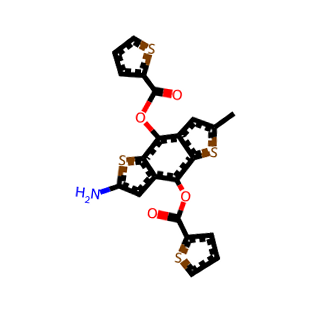 Cc1cc2c(OC(=O)c3cccs3)c3sc(N)cc3c(OC(=O)c3cccs3)c2s1